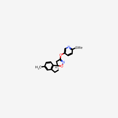 CSc1ccc(OC2=NO[C@]3(CCc4cc(C)ccc43)C2)cn1